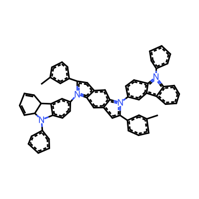 Cc1cccc(-c2cc3cc4c(cc(-c5cccc(C)c5)n4-c4ccc5c(c4)c4ccccc4n5-c4ccccc4)cc3n2-c2ccc3c(c2)C2C=CC=CC2N3c2ccccc2)c1